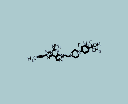 CC#Cc1nc2c3cnn(CCN4CCN(c5ccc(C(C)(C)O)cc5F)CC4)c3nc(N)n2n1